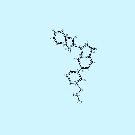 CCNCc1cncc(-c2ccc3[nH]nc(-c4cc5cnccc5[nH]4)c3n2)c1